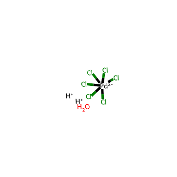 O.[Cl][Pd-2]([Cl])([Cl])([Cl])([Cl])[Cl].[H+].[H+]